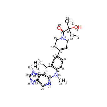 CCc1cc(C2=CCN(C(=O)C(C)(C)O)CC2)ccc1N(C)c1cc2c(cn1)ncn2C